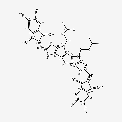 CC(C)CCn1c2cc(N=c3c(=O)c4cc(F)c(F)cc4c3=O)sc2c2sc3c4sc(N=c5c(=O)c6cc(F)c(F)cc6c5=O)cc4n(CCC(C)C)c3c21